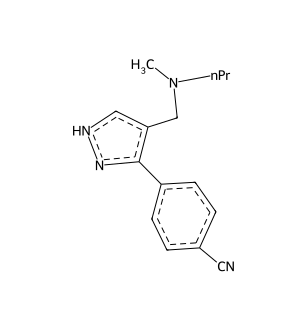 CCCN(C)Cc1c[nH]nc1-c1ccc(C#N)cc1